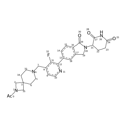 CC(=O)N1CC2(CCN(Cc3ccnc(-c4ccc5c(c4)CN(C4CCC(=O)NC4=O)C5=O)c3F)CC2)C1